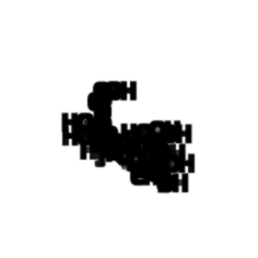 C=C1C[C@@]23CC[C@H]4[C@@](C)(CCC[C@@]4(C)C(=O)O[C@@H]4O[C@H](COC(=O)CC(=O)O)[C@@H](O)[C@H](O)[C@H]4O)[C@@H]2CC[C@@]1(O[C@@H]1O[C@H](CO)[C@@H](O)[C@H](O)[C@H]1O[C@@H]1O[C@H](CO)[C@@H](O)[C@H](O)[C@H]1O)C3